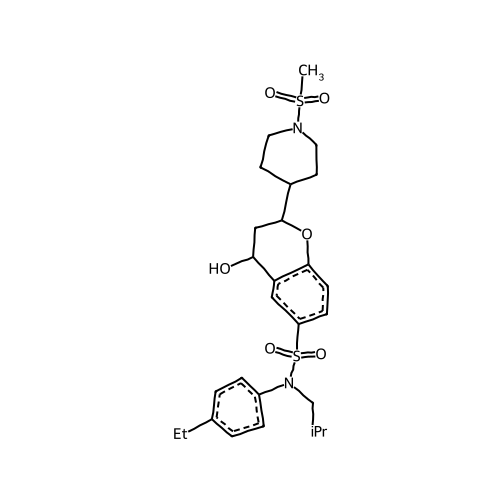 CCc1ccc(N(CC(C)C)S(=O)(=O)c2ccc3c(c2)C(O)CC(C2CCN(S(C)(=O)=O)CC2)O3)cc1